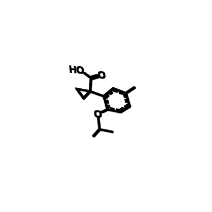 Cc1ccc(OC(C)C)c(C2(C(=O)O)CC2)c1